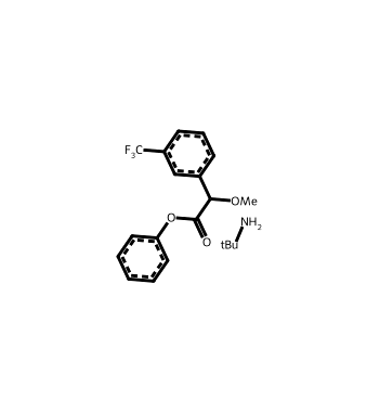 CC(C)(C)N.COC(C(=O)Oc1ccccc1)c1cccc(C(F)(F)F)c1